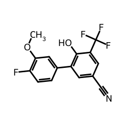 COc1cc(-c2cc(C#N)cc(C(F)(F)F)c2O)ccc1F